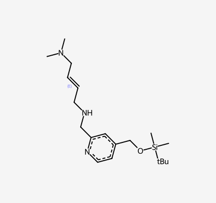 CN(C)C/C=C/CNCc1cc(CO[Si](C)(C)C(C)(C)C)ccn1